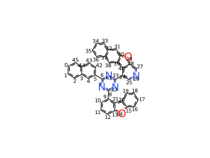 c1ccc2cc(-c3nc(-c4cccc5oc6ccccc6c45)nc(-c4cncc5oc6cc7ccccc7cc6c45)n3)ccc2c1